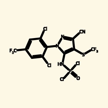 N#Cc1nn(-c2c(Cl)cc(C(F)(F)F)cc2Cl)c(NP(=O)(Cl)Cl)c1SC(F)(F)F